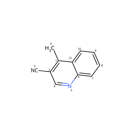 Cc1c(C#N)[c]nc2ccccc12